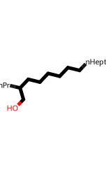 CCCCCCCCCCCCCC(CO)CCC